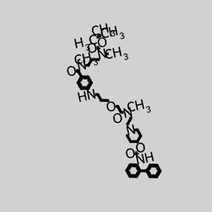 CN(CCN1CCC(OC(=O)Nc2ccccc2-c2ccccc2)CC1)C(=O)COCCCNc1ccc(C(=O)N(C)CCCN(C)C(=O)OC(C)(C)C)cc1